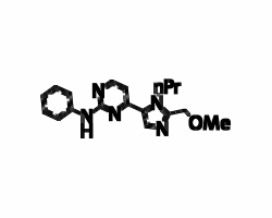 CCCn1c(-c2ccnc(Nc3ccccc3)n2)cnc1COC